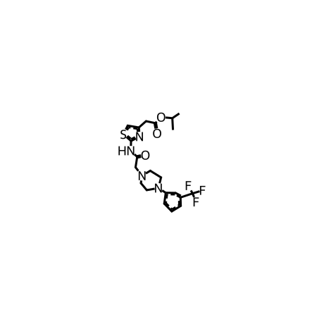 CC(C)OC(=O)Cc1csc(NC(=O)CN2CCN(c3cccc(C(F)(F)F)c3)CC2)n1